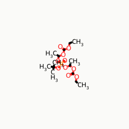 CCOC(=O)OC(C)OP(=O)(OC(C)OC(=O)OCC)OC(C)(C)C